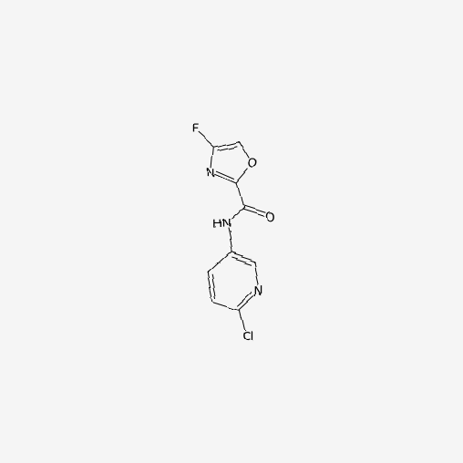 O=C(Nc1ccc(Cl)nc1)c1nc(F)co1